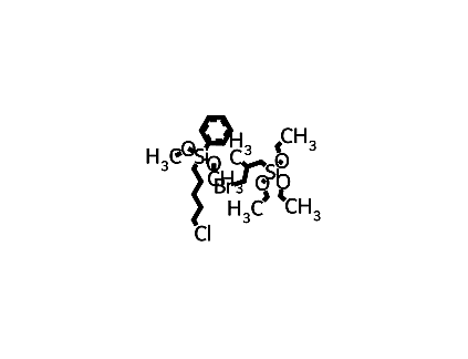 CCO[Si](CC(C)CBr)(OCC)OCC.CO[Si](CCCCCCl)(OC)c1ccccc1